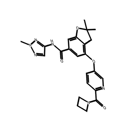 Cn1ncc(NC(=O)c2cc(Oc3ccc(C(=O)N4CCC4)nc3)c3c(c2)OC(C)(C)C3)n1